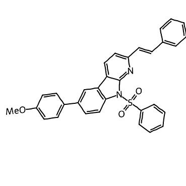 COc1ccc(-c2ccc3c(c2)c2ccc(C=Cc4ccccc4)nc2n3S(=O)(=O)c2ccccc2)cc1